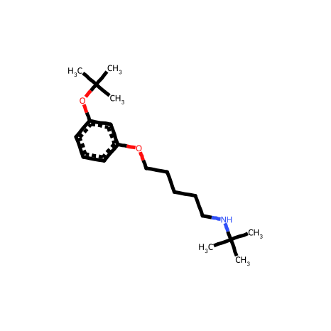 CC(C)(C)NCCCCCOc1cccc(OC(C)(C)C)c1